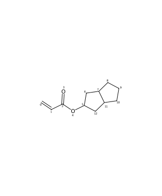 C=CC(=O)OC1CC2CCCC2C1